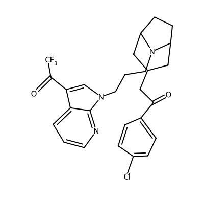 O=C(CC1CC2CCC(C1)N2CCCn1cc(C(=O)C(F)(F)F)c2cccnc21)c1ccc(Cl)cc1